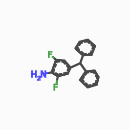 Nc1c(F)cc(C(c2ccccc2)c2ccccc2)cc1F